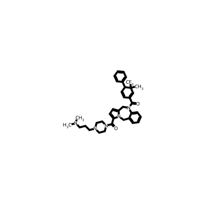 CN(C)CCCN1CCN(C(=O)c2ccc3n2Cc2ccccc2N(C(=O)C2=CC(C)(C(F)(F)F)C(c4ccccc4)C=C2)C3)CC1